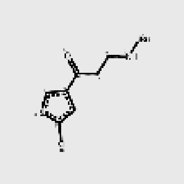 CCC(C)NCCC(=O)c1csc(Cl)c1